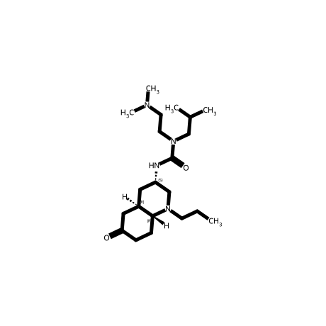 CCCN1C[C@@H](NC(=O)N(CCN(C)C)CC(C)C)C[C@@H]2CC(=O)CC[C@H]21